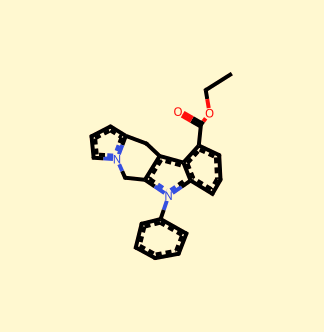 CCOC(=O)c1cccc2c1c1c(n2-c2ccccc2)Cn2cccc2C1